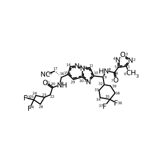 Cc1nonc1C(=O)N[C@H](c1cn2ncc([C@@H](CC#N)NC(=O)CC3CC(F)(F)C3)cc2n1)C1CCC(F)(F)CC1